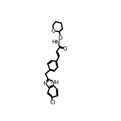 O=C(/C=C/c1ccc(Cc2nc3cc(Cl)ccc3[nH]2)cc1)NOC1CCCCO1